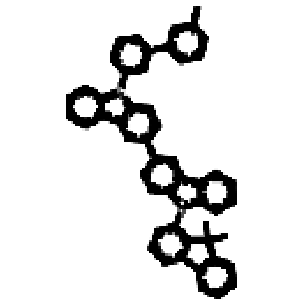 Cc1cccc(-c2cccc(-n3c4ccccc4c4cc(-c5ccc6c(c5)c5ccccc5n6-c5cccc6c5C(C)(C)c5ccccc5-6)ccc43)c2)c1